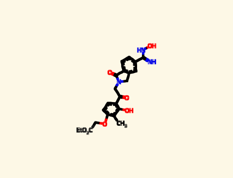 CCOC(=O)COc1ccc(C(=O)CN2Cc3cc(C(=N)NO)ccc3C2=O)c(O)c1C